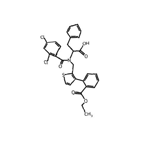 CCOC(=O)c1ccccc1-c1ccsc1CN(C(=O)c1ccc(Cl)cc1Cl)C(Cc1ccccc1)C(=O)O